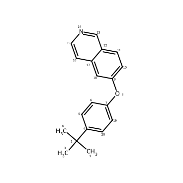 CC(C)(C)c1ccc(Oc2ccc3cnccc3c2)cc1